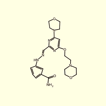 NC(=O)c1cccc(NN=Cc2nc(OCCN3CCOCC3)cc(N3CCOCC3)n2)c1